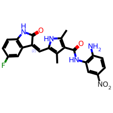 Cc1[nH]c(/C=C2\C(=O)Nc3ccc(F)cc32)c(C)c1C(=O)Nc1cc([N+](=O)[O-])ccc1N